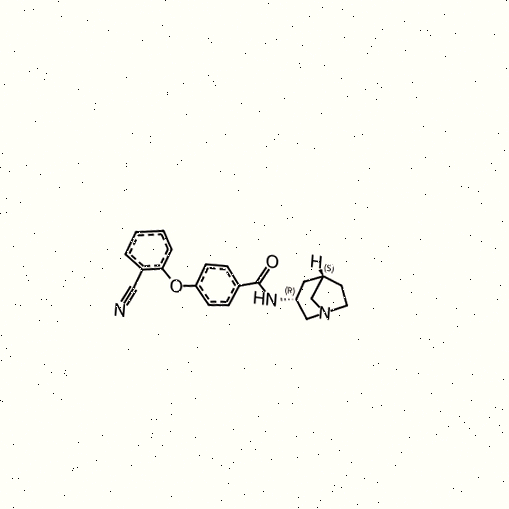 N#Cc1ccccc1Oc1ccc(C(=O)N[C@@H]2C[C@@H]3CCN(C3)C2)cc1